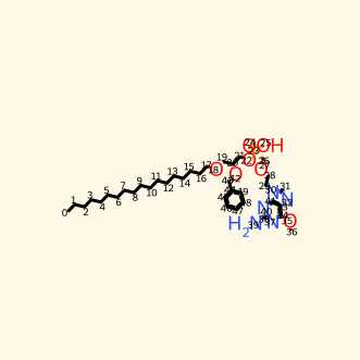 CCCCCCCCCCCCCCCCCCOCC(COP(=O)(O)COCCn1cnc2c(OC)nc(N)nc21)OCc1ccccc1